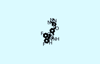 CN(C)c1ncnc2c1CN(C(=O)c1cccc(CN3C(=N)NC(c4ccc(F)cc4)(c4ccc(F)cc4)C3=O)c1)C2